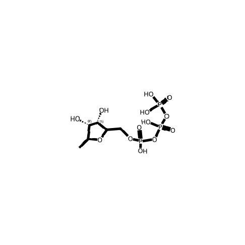 CC1OC(COP(=O)(O)OP(=O)(O)OP(=O)(O)O)[C@@H](O)[C@H]1O